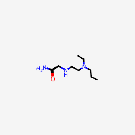 CCCN(CC)CCNCC(N)=O